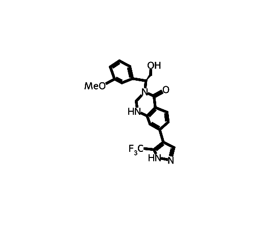 COc1cccc([C@@H](CO)N2CNc3cc(-c4cn[nH]c4C(F)(F)F)ccc3C2=O)c1